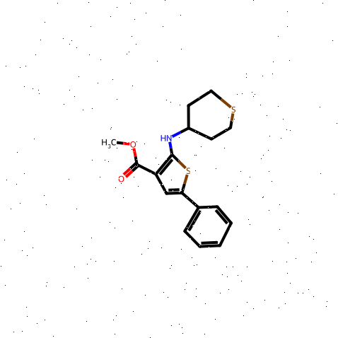 COC(=O)c1cc(-c2ccccc2)sc1NC1CCSCC1